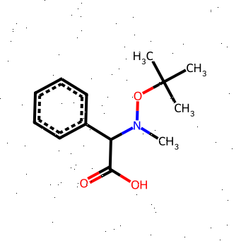 CN(OC(C)(C)C)C(C(=O)O)c1ccccc1